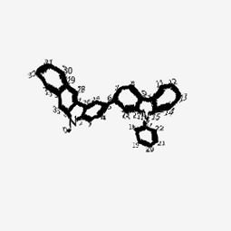 Cn1c2ccc(-c3ccc4c5ccccc5n(-c5ccccc5)c4c3)cc2c2cc3ccccc3cc21